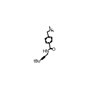 CN(C)Cc1ccc(C(=O)NCC#CC(C)(C)C)cc1